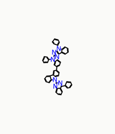 c1ccc(-c2nc(-n3c4ccccc4c4cc(-c5ccc6c(c5)n(-c5ccccc5)c5nc7c(c8ccccc8n7-c7ccccc7)n65)ccc43)nc3ccccc23)cc1